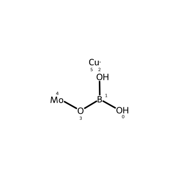 OB(O)[O][Mo].[Cu]